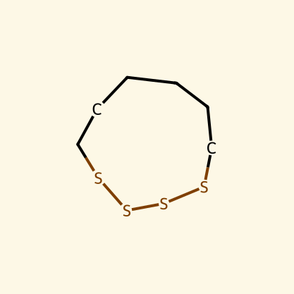 C1CCCSSSSCC1